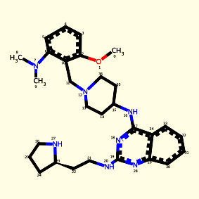 COc1cccc(N(C)C)c1CN1CCC(Nc2nc(NCC[C@H]3CCCN3)nc3ccccc23)CC1